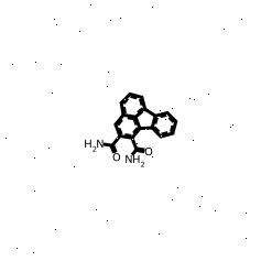 NC(=O)c1cc2cccc3c2c(c1C(N)=O)-c1ccccc1-3